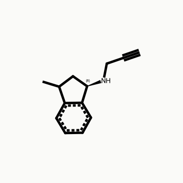 C#CCN[C@@H]1CC(C)c2ccccc21